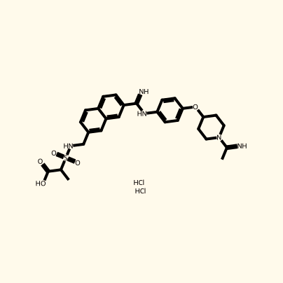 CC(=N)N1CCC(Oc2ccc(NC(=N)c3ccc4ccc(CNS(=O)(=O)C(C)C(=O)O)cc4c3)cc2)CC1.Cl.Cl